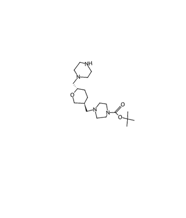 CC(C)(C)OC(=O)N1CCN(C[C@@H]2CC[C@@H](CN3CCNCC3)OC2)CC1